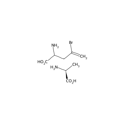 C=C(Br)CC(N)C(=O)O.C[C@H](N)C(=O)O